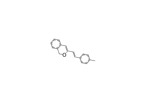 Cc1ccc(/C=C/C2=Cc3ccccc3CO2)cc1